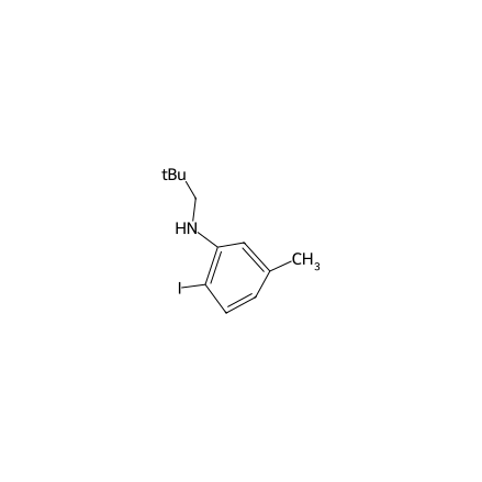 Cc1ccc(I)c(NCC(C)(C)C)c1